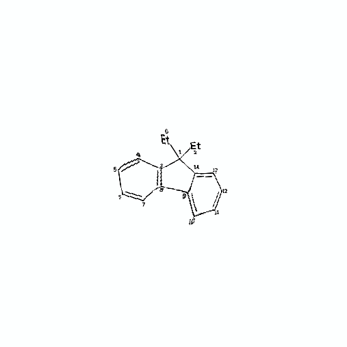 CCC1(CC)c2[c]cccc2-c2ccc[c]c21